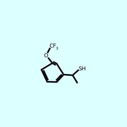 CC(S)c1cccc(OC(F)(F)F)c1